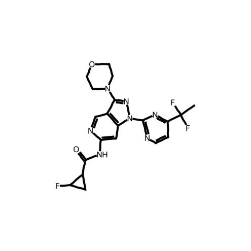 CC(F)(F)c1ccnc(-n2nc(N3CCOCC3)c3cnc(NC(=O)C4CC4F)cc32)n1